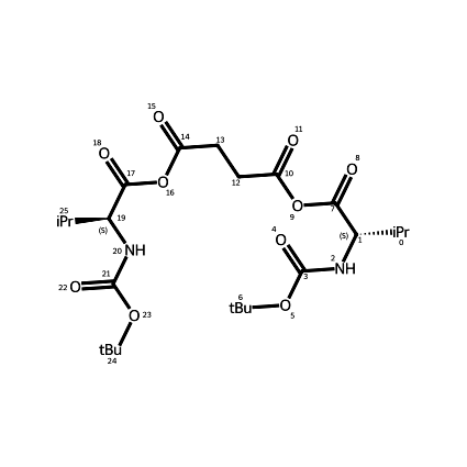 CC(C)[C@H](NC(=O)OC(C)(C)C)C(=O)OC(=O)CCC(=O)OC(=O)[C@@H](NC(=O)OC(C)(C)C)C(C)C